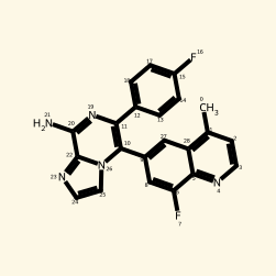 Cc1ccnc2c(F)cc(-c3c(-c4ccc(F)cc4)nc(N)c4nccn34)cc12